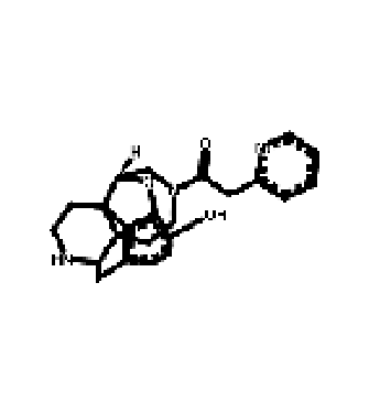 O=C(Cc1ccccn1)N1CCC2(O)C3Cc4ccc(O)c5c4C2(CCN3)[C@H](C1)O5